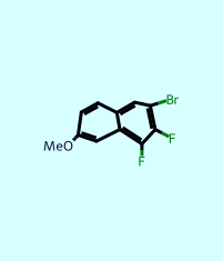 COc1ccc2cc(Br)c(F)c(F)c2c1